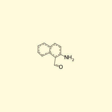 Nc1ccc2ccccc2c1C=O